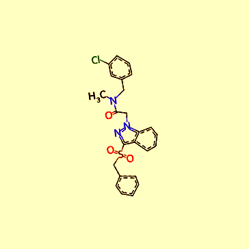 CN(Cc1cccc(Cl)c1)C(=O)Cn1nc(S(=O)(=O)Cc2ccccc2)c2ccccc21